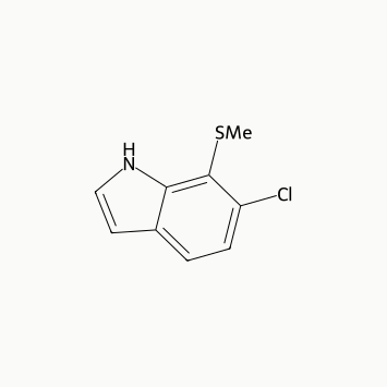 CSc1c(Cl)ccc2cc[nH]c12